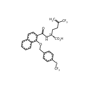 C=C(CC[C@H](NC(=O)c1ccc2ccccc2c1OCc1ccc(SC(F)(F)F)cc1)C(=O)O)C(F)(F)F